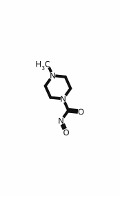 CN1CCN(C(=O)N=O)CC1